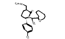 CCC(C1CCCCO1)N1C(=O)C(CC=O)CC[C@H]1c1ccc(Cl)cc1